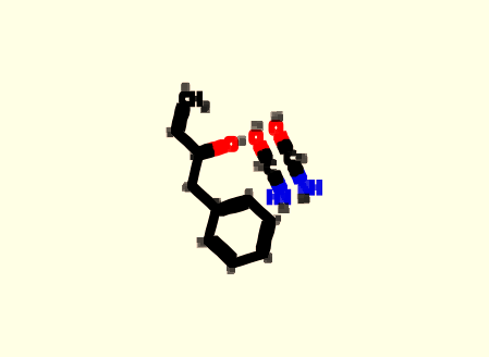 C=CC(=O)Cc1ccccc1.N=C=O.N=C=O